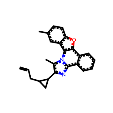 C=CCC1CC1c1nc2c3ccccc3c3oc4ccc(C)cc4c3n2c1C